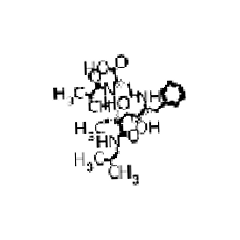 CC[C@H](C[C@H](O)[C@H](Cc1ccccc1)NC(=O)C[C@H](NC(=O)C(C)C)C(=O)O)C(=O)NCC(C)C